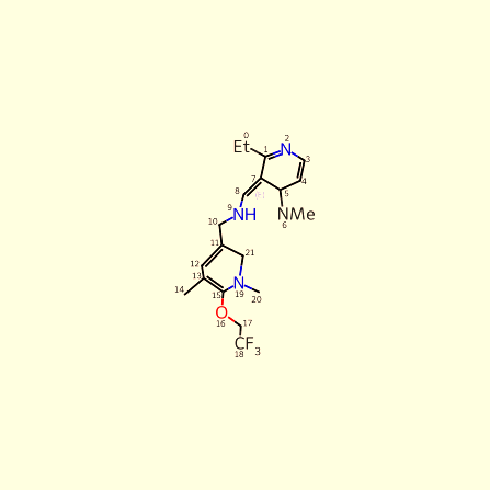 CCC1=NC=CC(NC)/C1=C\NCC1=CC(C)=C(OCC(F)(F)F)N(C)C1